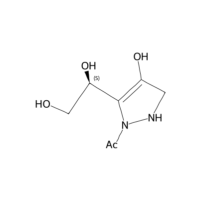 CC(=O)N1NCC(O)=C1[C@H](O)CO